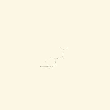 CCC(=O)N(C)C1CC2CC2C1